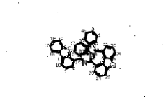 c1ccc(-c2nc(-c3cccc4c3sc3ccccc34)nc(-c3cccc4oc5cccc(-c6nc7ccccc7o6)c5c34)n2)cc1